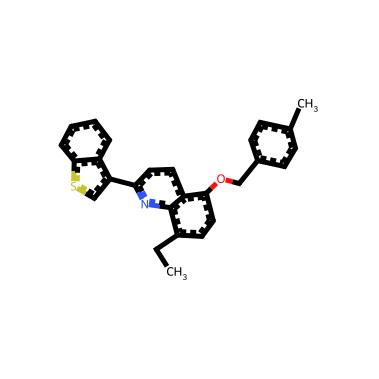 CCc1ccc(OCc2ccc(C)cc2)c2ccc(-c3csc4ccccc34)nc12